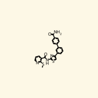 CSc1ncccc1C(=O)Nc1nc(-c2cccc(-c3ccc(C(N)=O)cc3)c2)cs1